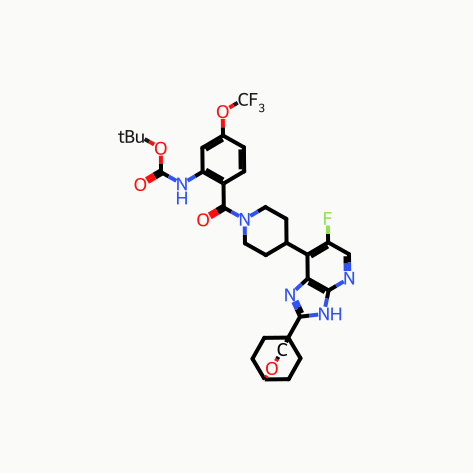 CC(C)(C)OC(=O)Nc1cc(OC(F)(F)F)ccc1C(=O)N1CCC(c2c(F)cnc3[nH]c(C45CCC(CC4)OC5)nc23)CC1